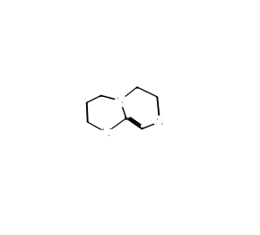 C1=C2NCCCN2CCN1